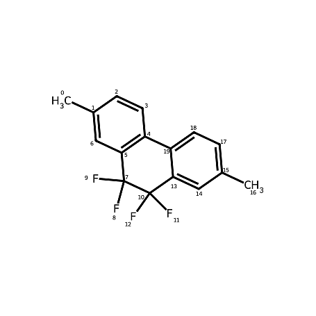 Cc1ccc2c(c1)C(F)(F)C(F)(F)c1cc(C)ccc1-2